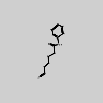 O=[C]CCCCC(=O)Nc1ccccc1